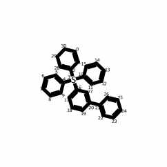 C1=CC(S(c2ccccc2)(c2ccccc2)c2cccc(-c3ccccc3)c2)=CCC1